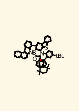 CC(C)(C)c1ccc(N2c3c(oc4cc5c(cc34)C(C)(C)CCC5(C)C)B3c4c(cc5c(sc6ccccc65)c42)-c2cccc4c5c6ccccc6ccc5n3c24)c(-c2ccccc2)c1